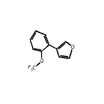 FC(F)(F)Oc1ccccc1-c1[c]occ1